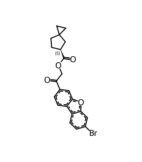 O=C(COC(=O)[C@H]1CCC2(CC2)C1)c1ccc2c(c1)oc1cc(Br)ccc12